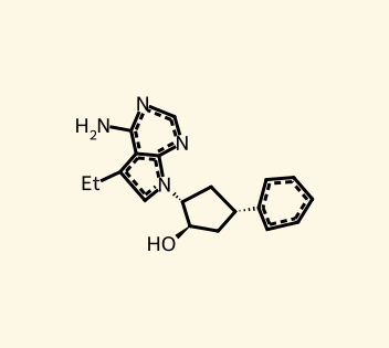 CCc1cn([C@@H]2C[C@H](c3ccccc3)C[C@H]2O)c2ncnc(N)c12